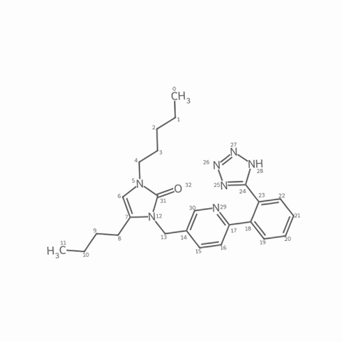 CCCCCn1cc(CCCC)n(Cc2ccc(-c3ccccc3-c3nnn[nH]3)nc2)c1=O